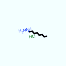 CCCCCCCCNN.Cl